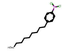 CCCCCCCCCCCCCCCCCCc1ccc(P(Cl)Cl)cc1